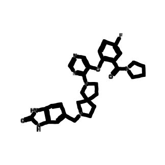 O=C(c1cc(F)ccc1Oc1cncnc1N1CCC2(CCN(Cc3ccc4[nH]c(=O)[nH]c4c3)C2)C1)N1CCCC1